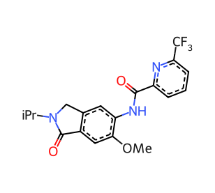 COc1cc2c(cc1NC(=O)c1cccc(C(F)(F)F)n1)CN(C(C)C)C2=O